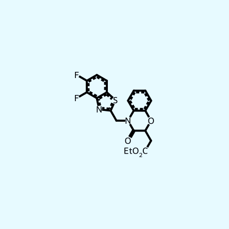 CCOC(=O)CC1Oc2ccccc2N(Cc2nc3c(F)c(F)ccc3s2)C1=O